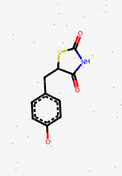 [O]c1ccc(CC2SC(=O)NC2=O)cc1